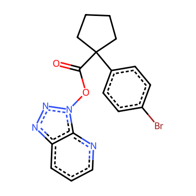 O=C(On1nnc2cccnc21)C1(c2ccc(Br)cc2)CCCC1